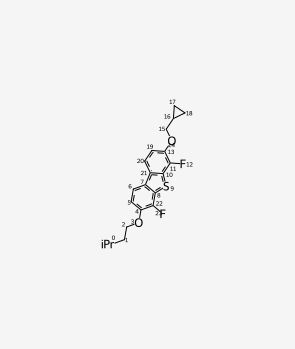 CC(C)CCOc1ccc2c(sc3c(F)c(OCC4CC4)ccc32)c1F